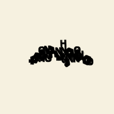 C=CC(=O)Nc1cc(Nc2nc(-c3ccnc(N4CCn5c(cc6c5CC(C)(C)C6)C4=O)c3CO)cn(C)c2=O)ccc1[C@@H]1C(=O)N(C)C(C2CCOCC2)CN1C